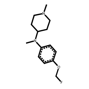 CN1CCC(N(C)c2ccc(OCF)cc2)CC1